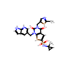 Cc1ncc(Cn2c(=O)c3cc(S(=O)(=O)NC4(C)CC4)sc3n(Cc3cnc4[nH]ccc4c3)c2=O)s1